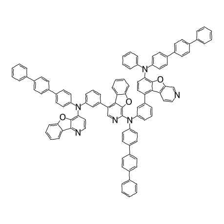 c1ccc(-c2ccc(-c3ccc(N(c4cccc(-c5cnc(N(c6ccc(-c7ccc(-c8ccccc8)cc7)cc6)c6cccc(-c7ccc(N(c8ccccc8)c8ccc(-c9ccc(-c%10ccccc%10)cc9)cc8)c8oc9cnccc9c78)c6)c6oc7ccccc7c56)c4)c4ccnc5c4oc4ccccc45)cc3)cc2)cc1